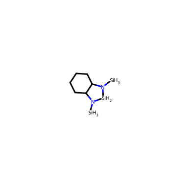 [SiH3]N1[SiH2]N([SiH3])C2CCCCC21